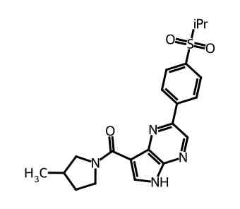 CC1CCN(C(=O)c2c[nH]c3ncc(-c4ccc(S(=O)(=O)C(C)C)cc4)nc23)C1